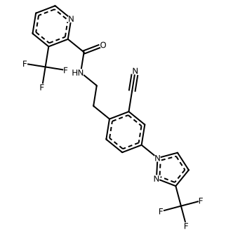 N#Cc1cc(-n2ccc(C(F)(F)F)n2)ccc1CCNC(=O)c1ncccc1C(F)(F)F